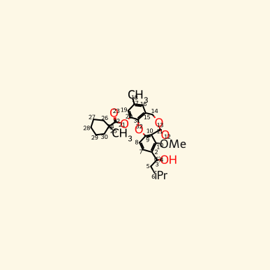 COc1c([C@@H](O)CC(C)C)ccc2c1C(=O)OCc1cc(C)cc(OC(=O)C3(C)CCCCC3)c1O2